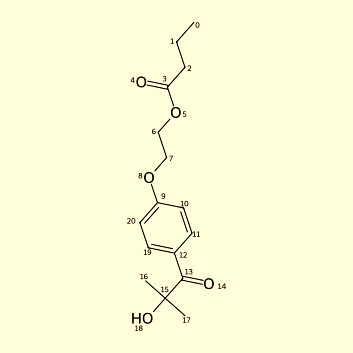 CCCC(=O)OCCOc1ccc(C(=O)C(C)(C)O)cc1